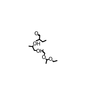 CC(O)CO.CCC(C)C=O.CCOC(C)OCC